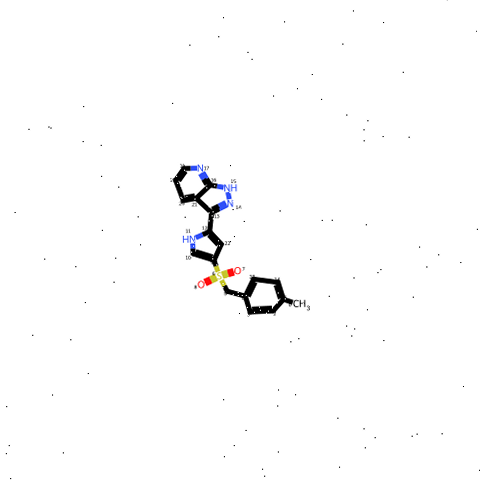 Cc1ccc(CS(=O)(=O)c2c[nH]c(-c3n[nH]c4ncccc34)c2)cc1